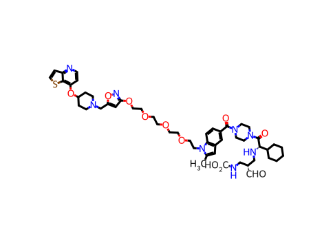 Cc1cc2cc(C(=O)N3CCN(C(=O)[C@@H](NC[C@H](C=O)CNC(=O)O)C4CCCCC4)CC3)ccc2n1CCOCCOCCOCCOc1cc(CN2CCC(Oc3ccnc4ccsc34)CC2)on1